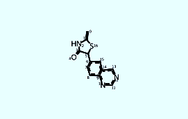 C=C1NC(=O)C(c2ccc3ncncc3c2)S1